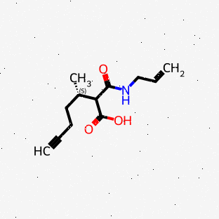 C#CCC[C@H](C)C(C(=O)O)C(=O)NCC=C